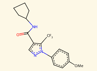 COc1ccc(-n2ncc(C(=O)NC3CCCC3)c2C(F)(F)F)cc1